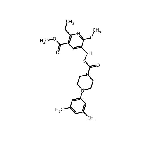 CCc1nc(OC)c(NSC(=O)N2CCN(c3cc(C)cc(C)c3)CC2)cc1C(=O)OC